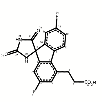 O=C(O)CCc1cc(F)cc2c1-c1ccc(F)cc1C21NC(=O)NC1=O